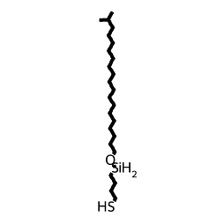 CC(C)CCCCCCCCCCCCCCCCCO[SiH2]CCCCS